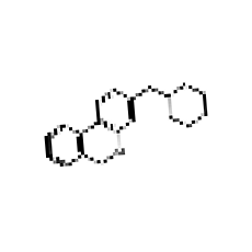 C1=C=CC2=C(C=1)CNc1cc(CC3CCCCC3)ccc12